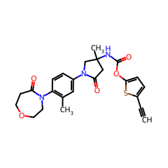 C#Cc1ccc(OC(=O)NC2(C)CC(=O)N(c3ccc(N4CCOCCC4=O)c(C)c3)C2)s1